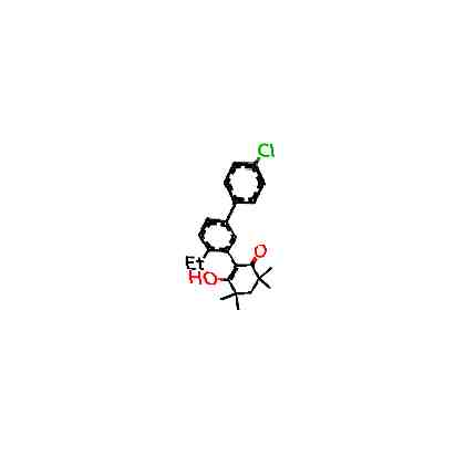 CCc1ccc(-c2ccc(Cl)cc2)cc1C1=C(O)C(C)(C)CC(C)(C)C1=O